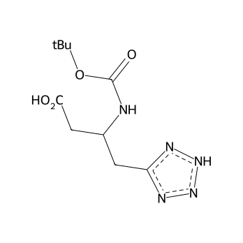 CC(C)(C)OC(=O)NC(CC(=O)O)Cc1nn[nH]n1